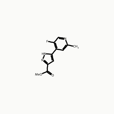 COC(=O)c1cc(-c2cc(C)ncc2F)[nH]n1